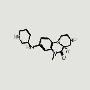 CN1C(=O)[C@H]2CNCCN2c2ccc(NC3CCCNC3)cc21